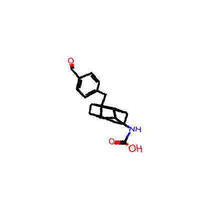 O=Cc1ccc(CC23C4C5C2C2C3C4C52NC(=O)O)cc1